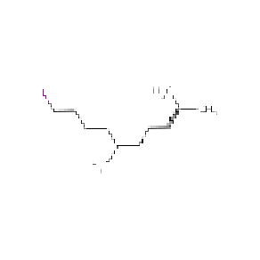 CC(C)=CCCC(C)CCCCI